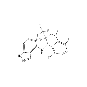 CC1(C)CC(O)(C(F)(F)F)C(Nc2cccc3[nH]ncc23)c2c(F)ccc(F)c21